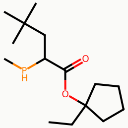 CCC1(OC(=O)C(CC(C)(C)C)PC)CCCC1